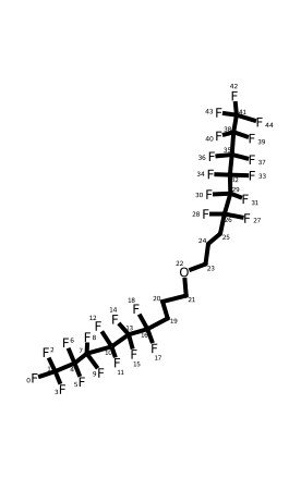 FC(F)(F)C(F)(F)C(F)(F)C(F)(F)C(F)(F)C(F)(F)CCCOCCCC(F)(F)C(F)(F)C(F)(F)C(F)(F)C(F)(F)C(F)(F)F